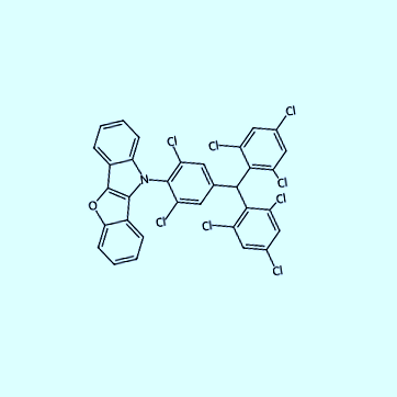 Clc1cc(Cl)c(C(c2cc(Cl)c(-n3c4ccccc4c4oc5ccccc5c43)c(Cl)c2)c2c(Cl)cc(Cl)cc2Cl)c(Cl)c1